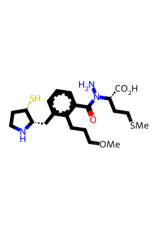 COCCCc1c(C[C@@H]2NCC[C@@H]2S)cccc1C(=O)N(N)[C@@H](CCSC)C(=O)O